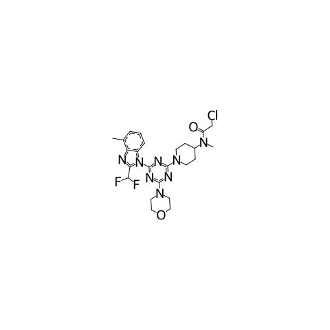 Cc1cccc2c1nc(C(F)F)n2-c1nc(N2CCOCC2)nc(N2CCC(N(C)C(=O)CCl)CC2)n1